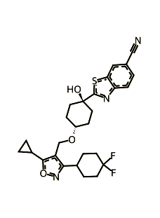 N#Cc1ccc2nc([C@]3(O)CC[C@H](OCc4c(C5CCC(F)(F)CC5)noc4C4CC4)CC3)sc2c1